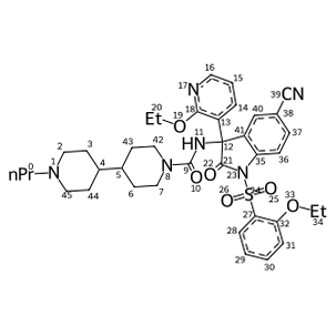 CCCN1CCC(C2CCN(C(=O)NC3(c4cccnc4OCC)C(=O)N(S(=O)(=O)c4ccccc4OCC)c4ccc(C#N)cc43)CC2)CC1